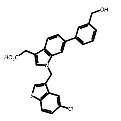 O=C(O)Cc1cn(Cc2csc3ccc(Cl)cc23)c2cc(-c3cccc(CO)c3)ccc12